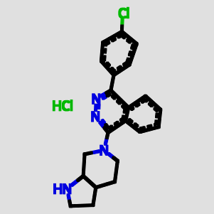 Cl.Clc1ccc(-c2nnc(N3CCC4CCNC4C3)c3ccccc23)cc1